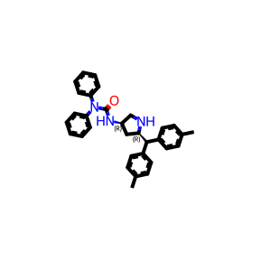 Cc1ccc(C(c2ccc(C)cc2)[C@H]2C[C@@H](NC(=O)N(c3ccccc3)c3ccccc3)CN2)cc1